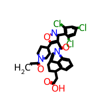 C=CC(=O)N1CCC(c2onc(-c3c(Cl)cc(Cl)cc3Cl)c2C(=O)n2cc3c4c(cccc42)C(CC(=O)O)CC3)CC1